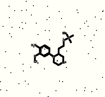 CC(C)(C)[Si](C)(C)OCCC1CNCCN1c1ccc(N)c(OC(F)(F)F)c1